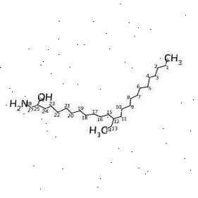 CCCCCCCCCCCCC(CC)CCCCCCCCCCC(O)CN